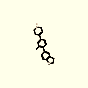 Cc1cc(C2=CCNCC2)ccc1-c1ccc2c(c1)CCO2